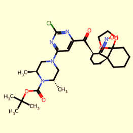 C[C@H]1CN(c2cc(C(=O)[C@@H]3CCC[C@@]4(CCCCC45OCCO5)/C3=N\O)nc(Cl)n2)C[C@H](C)N1C(=O)OC(C)(C)C